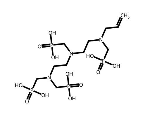 C=CCN(CCN(CCN(CP(=O)(O)O)CP(=O)(O)O)CP(=O)(O)O)CP(=O)(O)O